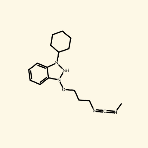 CN=C=NCCCON1NN(C2CCCCC2)c2ccccc21